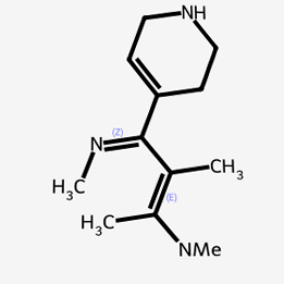 C/N=C(C1=CCNCC1)\C(C)=C(/C)NC